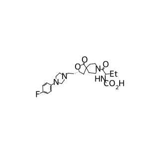 CCC(NC(=O)O)C(=O)N1CCC2(CC1)C[C@H](CCN1CCN(c3ccc(F)cc3)CC1)OC2=O